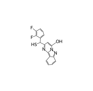 Oc1cc(C(S)c2cccc(F)c2F)nc2c3ccccc3nn12